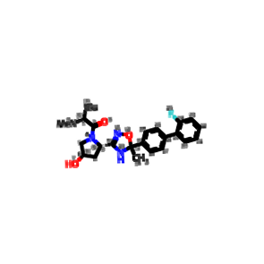 CN[C@H](C(=O)N1C[C@H](O)C[C@H]1C1=NOC(C)(c2ccc(-c3ccccc3F)cc2)N1)C(C)(C)C